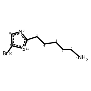 NCCCCCc1ncc(Br)s1